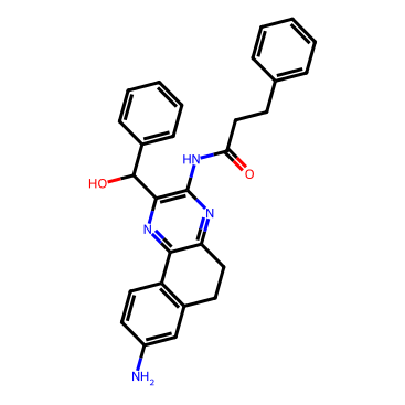 Nc1ccc2c(c1)CCc1nc(NC(=O)CCc3ccccc3)c(C(O)c3ccccc3)nc1-2